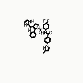 Cc1ccn(-c2ccc(C(=O)N[C@@H]3CCC(F)(F)C[C@H]3C(=O)N3CCc4c(-c5ncc[nH]5)nc5ccccc5c43)cc2)n1